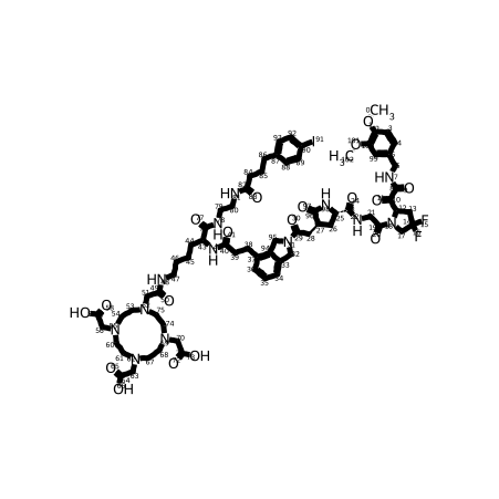 COc1ccc(CNC(=O)C(=O)C2CC(F)(F)CN2C(=O)CNC(=O)[C@@H]2C[C@@H](CC(=O)N3Cc4cccc(CCC(=O)NC(CCCCNC(=O)CN5CCN(CC(=O)O)CCN(CC(=O)O)CCN(CC(=O)O)CC5)C(=O)NCCNC(=O)CCCc5ccc(I)cc5)c4C3)C(=O)N2)cc1OC